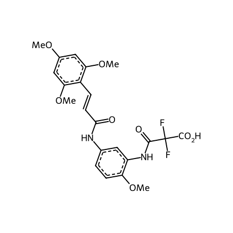 COc1cc(OC)c(C=CC(=O)Nc2ccc(OC)c(NC(=O)C(F)(F)C(=O)O)c2)c(OC)c1